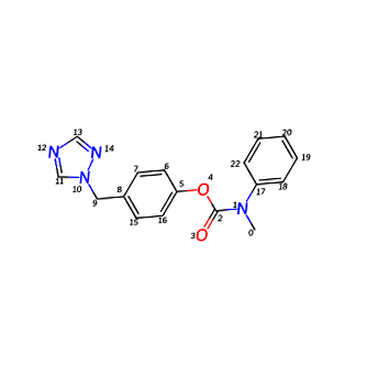 CN(C(=O)Oc1ccc(Cn2cncn2)cc1)c1ccccc1